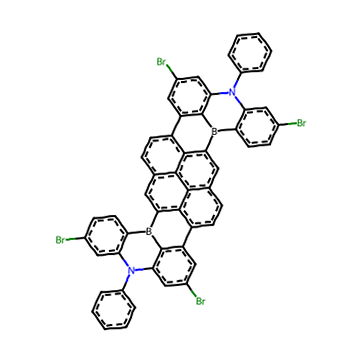 Brc1ccc2c(c1)N(c1ccccc1)c1cc(Br)cc3c1B2c1cc2ccc4c5c(cc6ccc-3c1c6c25)B1c2ccc(Br)cc2N(c2ccccc2)c2cc(Br)cc-4c21